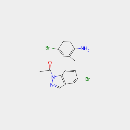 CC(=O)n1ncc2cc(Br)ccc21.Cc1cc(Br)ccc1N